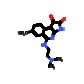 CN(C)CCNc1nc2c(c3ccc(C(=O)O)cc13)C(=O)C(=O)N2